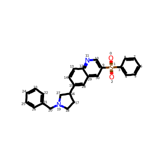 O=S(=O)(c1ccccc1)c1cnc2ccc(C3CCN(Cc4ccccc4)C3)cc2c1